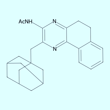 CC(=O)Nc1nc2c(nc1CC13CC4CC(CC(C4)C1)C3)-c1ccccc1CC2